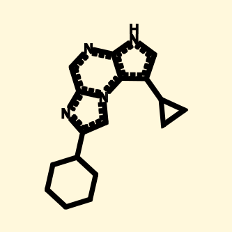 c1[nH]c2ncc3nc(C4CCCCC4)cn3c2c1C1CC1